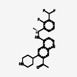 CC(=O)c1cc2nccc(N[C@H](C)c3cccc(C(F)F)c3F)c2cc1C1CCNCC1